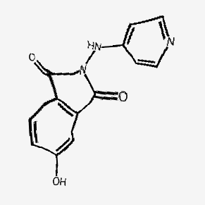 O=C1c2ccc(O)cc2C(=O)N1Nc1ccncc1